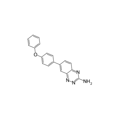 Nc1nnc2cc(-c3ccc(Oc4ccccc4)cc3)ccc2n1